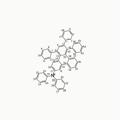 c1ccc(-c2cc(-c3ccccc3)c3c4ccc(N(c5ccccc5)c5ccccc5)cc4c4ccccc4c3c2-c2ccccc2)cc1